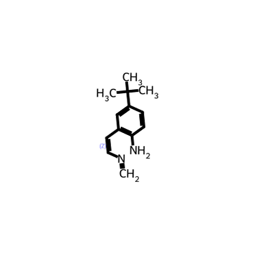 C=N/C=C\c1cc(C(C)(C)C)ccc1N